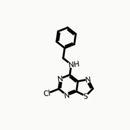 Clc1nc(NCc2ccccc2)c2ncsc2n1